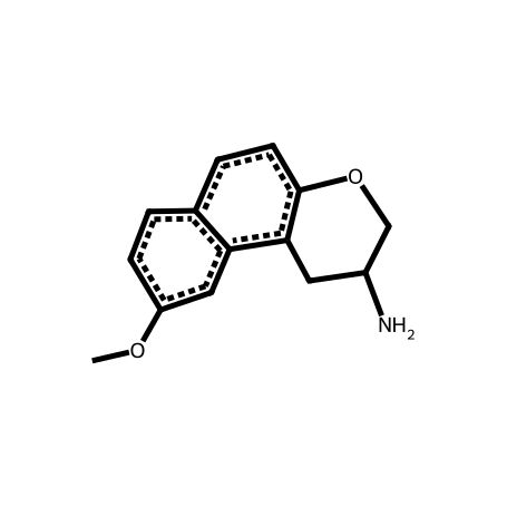 COc1ccc2ccc3c(c2c1)CC(N)CO3